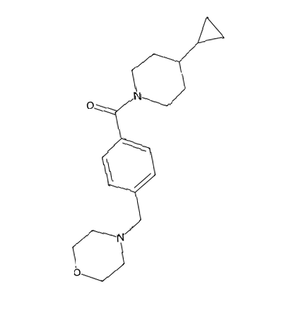 O=C(c1ccc(CN2CCOCC2)cc1)N1CCC(C2CC2)CC1